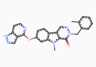 Cc1ccccc1Cn1ncc2c3ccc(Oc4nccc5[nH]ncc45)cc3n(C)c2c1=O